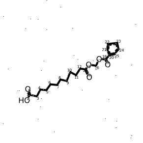 O=C(O)CCCCCCCCCCC(=O)OCOC(=O)c1ccccc1